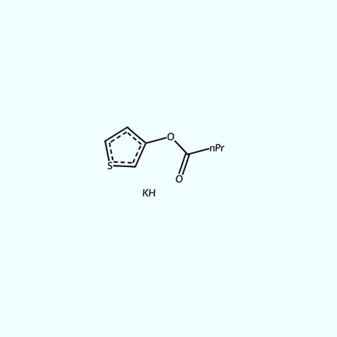 CCCC(=O)Oc1ccsc1.[KH]